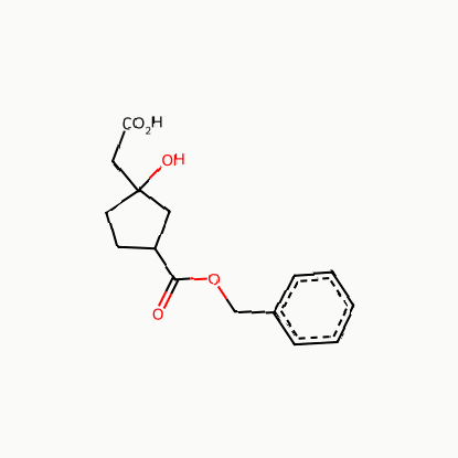 O=C(O)CC1(O)CCC(C(=O)OCc2ccccc2)C1